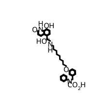 O=C(O)N(Cc1cccc(OCCCCCCCCCNC[C@H](O)c2ccc(O)c3[nH]c(=O)ccc23)c1)c1ccccc1